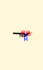 CCCCCCCCCCCCOC(=O)C#CNC#CC(=O)[O-].[Na+]